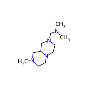 CN(C)CN1CCN2CCN(C)CC2C1